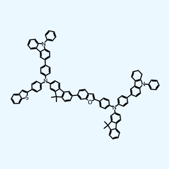 CC1(C)c2ccccc2-c2ccc(N(c3ccc(-c4ccc5c(c4)c4c(n5-c5ccccc5)CCC=C4)cc3)c3ccc(-c4cc5ccc(-c6ccc7c(c6)-c6ccc(N(c8ccc(-c9ccc%10c(c9)c9ccccc9n%10-c9ccccc9)cc8)c8ccc(-c9cc%10ccccc%10s9)cc8)cc6C7(C)C)cc5o4)cc3)cc21